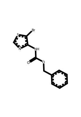 O=C(Nc1ncsc1Br)OCc1ccccc1